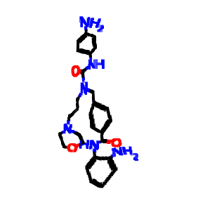 Nc1ccc(NC(=O)N(CCCN2CCOCC2)Cc2ccc(C(=O)Nc3ccccc3N)cc2)cc1